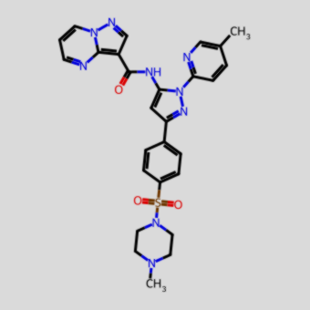 Cc1ccc(-n2nc(-c3ccc(S(=O)(=O)N4CCN(C)CC4)cc3)cc2NC(=O)c2cnn3cccnc23)nc1